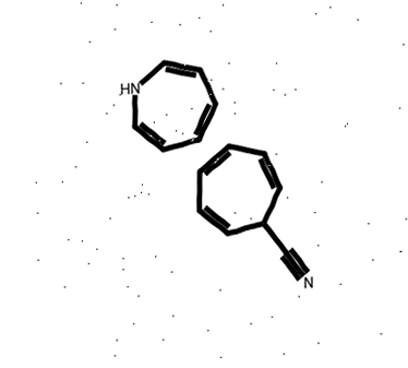 C1=CC=CNC=C1.N#CC1C=CC=CC=C1